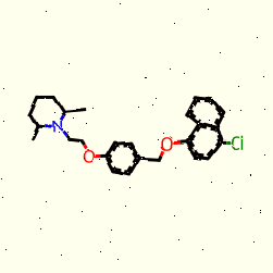 CC1CCCC(C)N1CCOc1ccc(COc2ccc(Cl)c3ccccc23)cc1